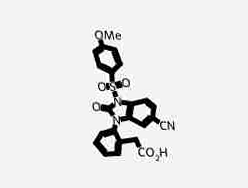 COc1ccc(S(=O)(=O)n2c(=O)n(-c3ccccc3CC(=O)O)c3cc(C#N)ccc32)cc1